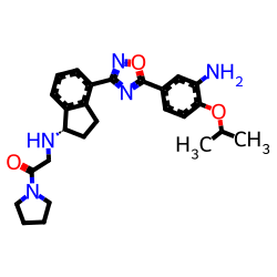 CC(C)Oc1ccc(-c2nc(-c3cccc4c3CC[C@@H]4NCC(=O)N3CCCC3)no2)cc1N